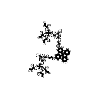 C=CC(=O)OCC(COC(=O)C=C)(COC(=O)C=C)COc1nc(Cl)nc(OCCOc2ccc(C3(c4ccc(OCCOc5nc(Cl)nc(OCC(COC(=O)C=C)(COC(=O)C=C)COC(=O)C=C)n5)cc4)c4ccccc4-c4ccccc43)cc2)n1